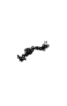 CCOc1cc(-c2ccc(N3CCC(CN4CCC5(CC4)CCN(C(=O)CCN4CCN(c6ccc7c(c6)CN(C6CCC(=O)NC6=O)C7=O)CC4)CC5)(NC(=O)c4cc(F)ccc4F)CC3)nc2)c2c(C#N)cnn2c1